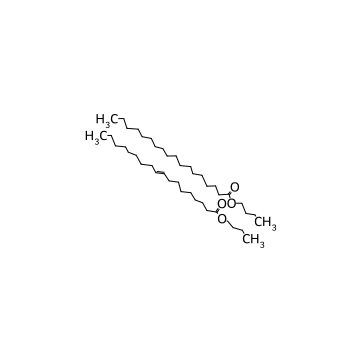 CCCCCCCCC=CCCCCCCCC(=O)OCCCC.CCCCCCCCCCCCCCCCCC(=O)OCCCC